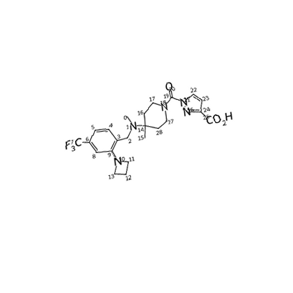 CN(Cc1ccc(C(F)(F)F)cc1N1CCC1)C1(C)CCN(C(=O)n2ccc(C(=O)O)n2)CC1